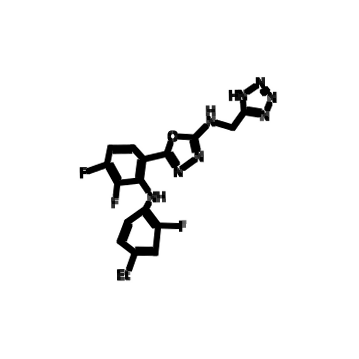 CCc1ccc(Nc2c(-c3nnc(NCc4nnn[nH]4)o3)ccc(F)c2F)c(F)c1